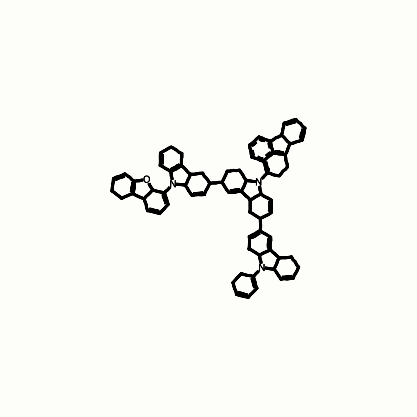 C1=CCCC(N2C3CC=C(C4C=CC5C(C4)C4=CC(C6C=CC7C(C6)C6=C(C=CCC6)N7C6=CC=CC7C8=C(C=CCC8)OC67)CCC4N5C4=c5cccc6c5=C(CC4)C4C=CC=CC64)C=C3C3CCC=CC32)=C1